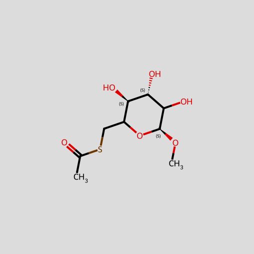 CO[C@H]1OC(CSC(C)=O)[C@@H](O)[C@H](O)C1O